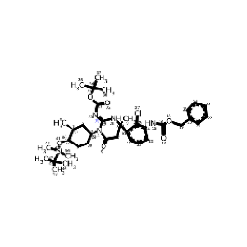 C[C@H]1C[C@@H](N2C(=O)C[C@@](C)(c3cccc(NC(=O)OCc4ccccc4)c3Cl)N/C2=N\C(=O)OC(C)(C)C)CC[C@H]1O[Si](C)(C)C(C)(C)C